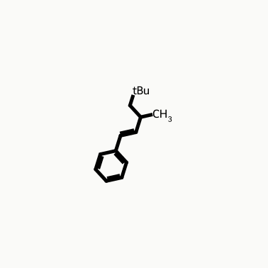 CC(C=Cc1ccccc1)CC(C)(C)C